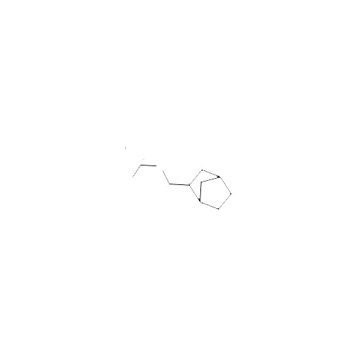 CC(C)[C@@H](C)OCC1CC2CCC1C2